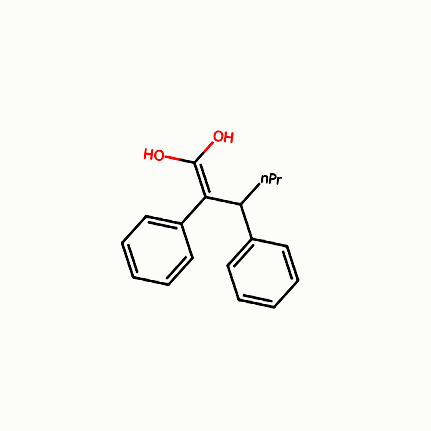 CCCC(C(=C(O)O)c1ccccc1)c1ccccc1